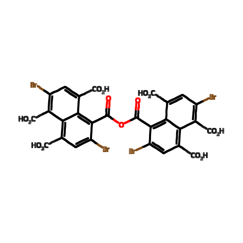 O=C(O)c1cc(Br)c(C(=O)OC(=O)c2c(Br)cc(C(=O)O)c3c(C(=O)O)c(Br)cc(C(=O)O)c23)c2c(C(=O)O)cc(Br)c(C(=O)O)c12